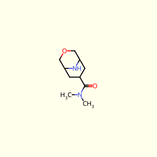 CN(C)C(=O)C1CC2COCC(C1)N2